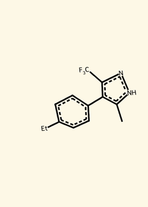 CCc1ccc(-c2c(C(F)(F)F)n[nH]c2C)cc1